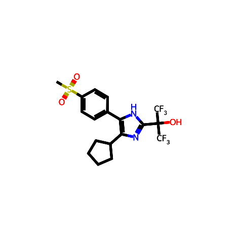 CS(=O)(=O)c1ccc(-c2[nH]c(C(O)(C(F)(F)F)C(F)(F)F)nc2C2CCCC2)cc1